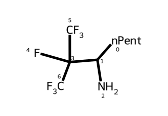 CCCCCC(N)C(F)(C(F)(F)F)C(F)(F)F